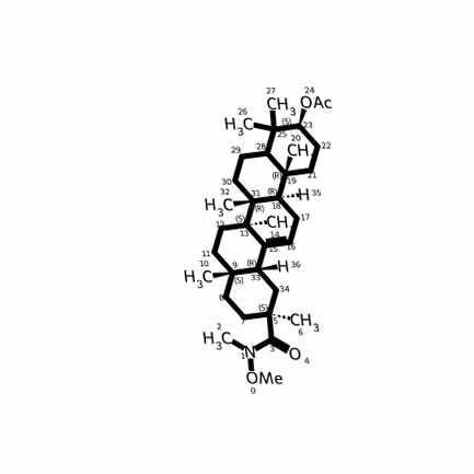 CON(C)C(=O)[C@@]1(C)CC[C@]2(C)CC[C@]3(C)C(=CC[C@@H]4[C@@]5(C)CC[C@H](OC(C)=O)C(C)(C)C5CC[C@]43C)[C@@H]2C1